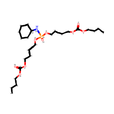 CCCCOC(=O)OCCCCOP(=O)(NC1CCCCC1)OCCCCOC(=O)OCCCC